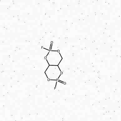 O=P1(F)OCC2OP(=O)(F)OCC2O1